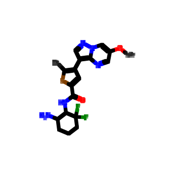 CCCOc1cnc2c(-c3cc(C(=O)NC4C(N)CCCC4(F)F)sc3CC)cnn2c1